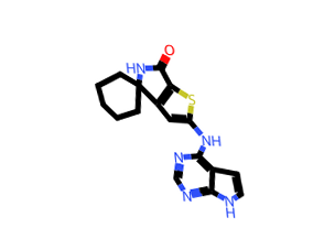 O=C1NC2(CCCCC2)c2cc(Nc3ncnc4[nH]ccc34)sc21